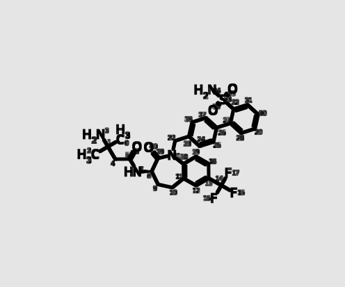 CC(C)(N)CC(=O)N[C@@H]1CCc2cc(C(F)(F)F)ccc2N(Cc2ccc(-c3ccccc3S(N)(=O)=O)cc2)C1=O